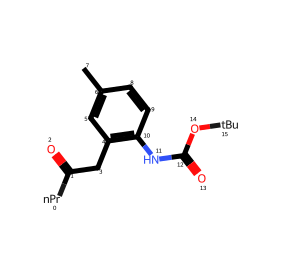 CCCC(=O)Cc1cc(C)ccc1NC(=O)OC(C)(C)C